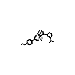 CCCc1ccc(-c2cnc3c(C4C=C(C(C)C)C=CC4)cnn3c2)cc1